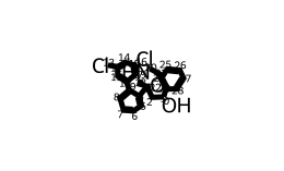 OC(CC1(c2ccccc2-c2cc(Cl)cc(Cl)c2)CNCCO1)c1ccccc1